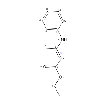 CCOC(=O)/C=C(\C)Nc1ccccc1